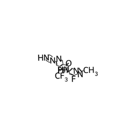 Cc1cn2cc(NC(=O)c3cnc(N4CCNCC4)cc3PCC(F)(F)F)cc(F)c2n1